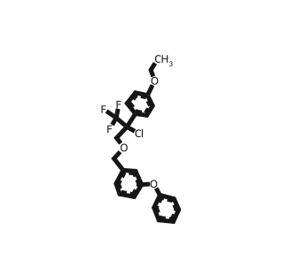 CCOc1ccc(C(Cl)(COCc2cccc(Oc3ccccc3)c2)C(F)(F)F)cc1